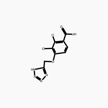 CCCC(=O)c1ccc(OCc2nnn[nH]2)c(Cl)c1Cl